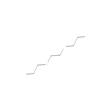 OCCNCCOCCO